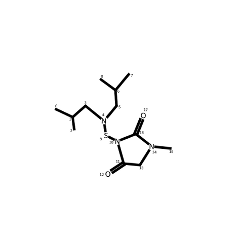 CC(C)CN(CC(C)C)SN1C(=O)CN(C)C1=O